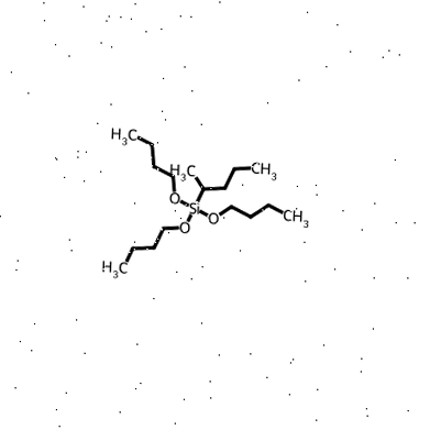 CCCCO[Si](OCCCC)(OCCCC)C(C)CCC